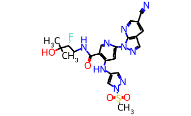 CC(C)(O)[C@H](F)CNC(=O)c1cnc(-n2ncc3cc(C#N)cnc32)cc1Nc1cnn(S(C)(=O)=O)c1